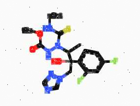 CCCCCCCCNC(=S)N(NC(=O)OC(C)(C)C)C(C)C(O)(Cn1cncn1)c1ccc(F)cc1F